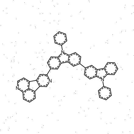 c1ccc(-n2c3ccccc3c3cc(-c4ccc5c(c4)c4cc(-c6cc7c(cn6)-c6cccc8nccc-7c68)ccc4n5-c4ccccc4)ccc32)cc1